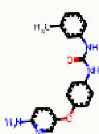 Cc1cccc(NC(=O)Nc2ccc(Oc3ccc(N)nc3)cc2)c1